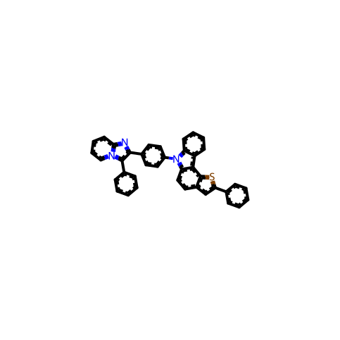 c1ccc(-c2cc3ccc4c(c5ccccc5n4-c4ccc(-c5nc6ccccn6c5-c5ccccc5)cc4)c3s2)cc1